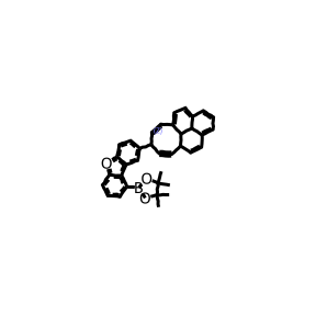 CC1(C)OB(c2cccc3oc4ccc(C5C#CC6C=CC7=CC=CC8=CC=C(/C=C\5)C6C78)cc4c23)OC1(C)C